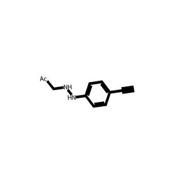 C#Cc1ccc(NNCC(C)=O)cc1